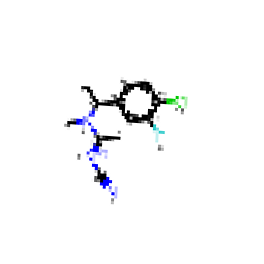 C/C(=N\C#N)N(C)C(C)c1ccc(Cl)c(F)c1